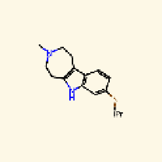 CC(C)Sc1ccc2c3c([nH]c2c1)CCN(C)CC3